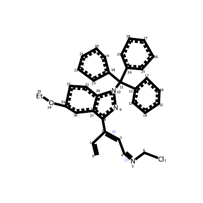 C=C/C(=C\C=N/CCl)c1nn(C(c2ccccc2)(c2ccccc2)c2ccccc2)c2ccc(OCC)cc12